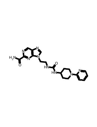 NC(=O)c1ncc2ncn(CCNC(=O)NC3CCN(c4ccccn4)CC3)c2n1